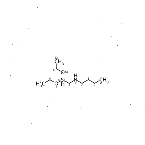 CCCCNC[SiH](OCC)OCC